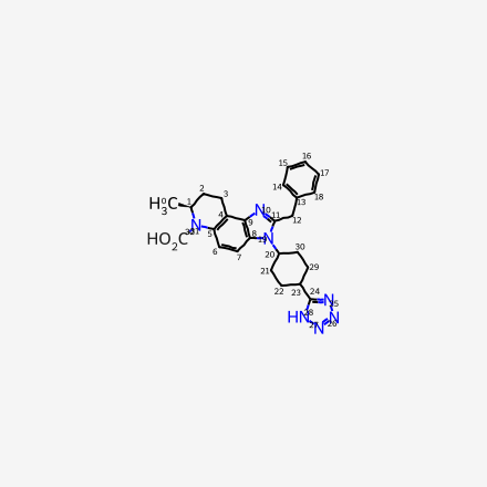 C[C@H]1CCc2c(ccc3c2nc(Cc2ccccc2)n3C2CCC(c3nnn[nH]3)CC2)N1C(=O)O